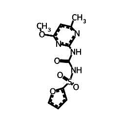 COc1cc(C)nc(NC(=O)NS(=O)(=O)c2ccco2)n1